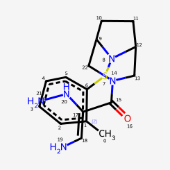 Cc1ccccc1SN1C2CCC1CN(C(=O)/C(=C/N)NN)C2